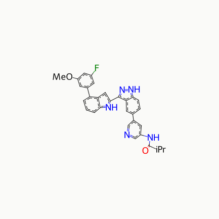 COc1cc(F)cc(-c2cccc3[nH]c(-c4n[nH]c5ccc(-c6cncc(NC(=O)C(C)C)c6)cc45)cc23)c1